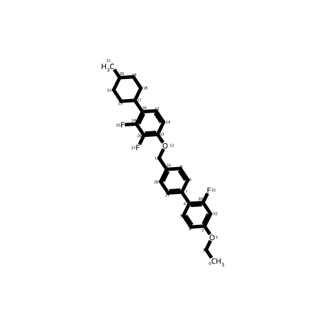 CCOc1ccc(-c2ccc(COc3ccc(C4CCC(C)CC4)c(F)c3F)cc2)c(F)c1